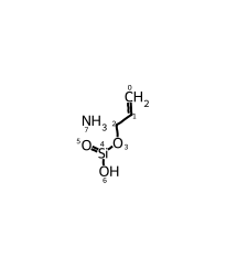 C=CCO[Si](=O)O.N